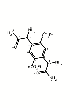 CCOC(=O)c1cc(N(N)C(N)=O)c(C(=O)OCC)cc1N(N)C(N)=O